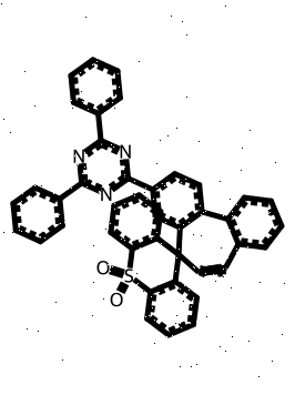 O=S1(=O)c2ccccc2C2(c3ccccc3-c3ccccc3-c3ccc(-c4nc(-c5ccccc5)nc(-c5ccccc5)n4)cc32)c2ccccc21